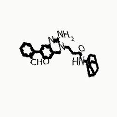 NC1=Nc2cc(-c3ccccc3C=O)ccc2CN1CCC(=O)NC1C2CC3CC(C2)CC1C3